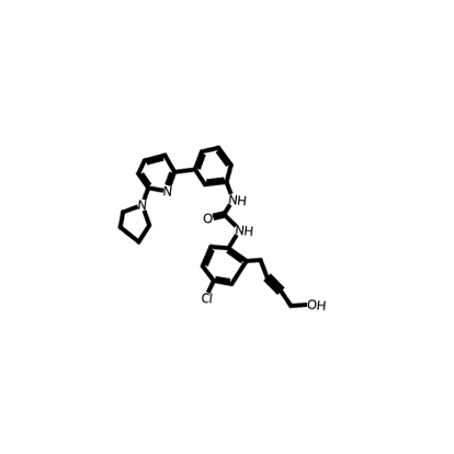 O=C(Nc1cccc(-c2cccc(N3CCCC3)n2)c1)Nc1ccc(Cl)cc1CC#CCO